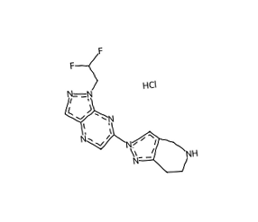 Cl.FC(F)Cn1ncc2ncc(-n3cc4c(n3)CCNC4)nc21